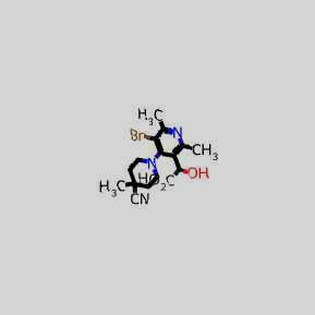 Cc1nc(C)c(C(O)C(=O)O)c(N2CCC(C)(C#N)CC2)c1Br